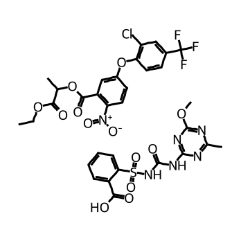 CCOC(=O)C(C)OC(=O)c1cc(Oc2ccc(C(F)(F)F)cc2Cl)ccc1[N+](=O)[O-].COc1nc(C)nc(NC(=O)NS(=O)(=O)c2ccccc2C(=O)O)n1